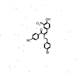 N#Cc1ccc(C(=O)/C(=C\c2ccc(O)c([N+](=O)[O-])c2)SCc2ccc(Br)cc2)cc1